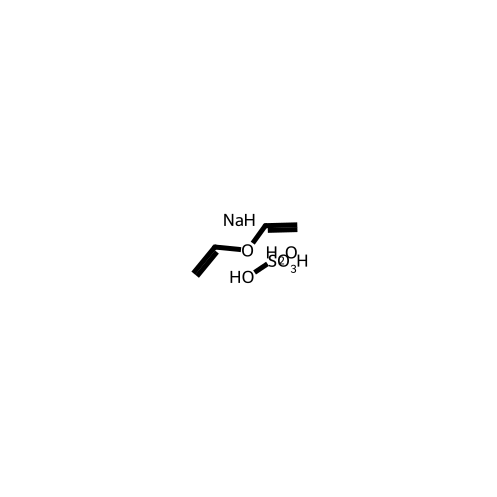 C=COC=C.O.O=S(=O)(O)O.[NaH]